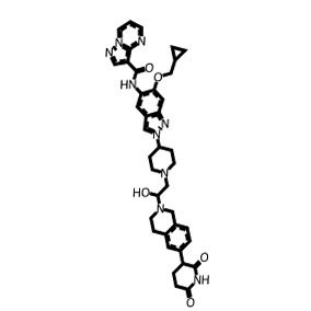 O=C1CCC(c2ccc3c(c2)CCN(C(O)CN2CCC(n4cc5cc(NC(=O)c6cnn7cccnc67)c(OCC6CC6)cc5n4)CC2)C3)C(=O)N1